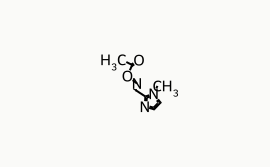 CC(=O)ON=Cc1nccn1C